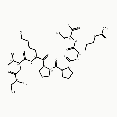 C[C@@H](O)[C@H](NC(=O)[C@@H](N)CS)C(=O)N[C@@H](CCCCN)C(=O)N1CCC[C@H]1C(=O)N1CCC[C@H]1C(=O)N[C@@H](CCCNC(=N)N)C(=O)N[C@@H](CS)C(=O)O